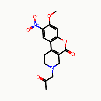 COc1cc2oc(=O)c3c(c2cc1[N+](=O)[O-])CCN(CC(C)=O)C3